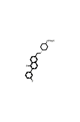 CCCCCCC[C@H]1CC[C@H](CCc2ccc3c(F)c(-c4cccc(F)c4)ccc3c2)CC1